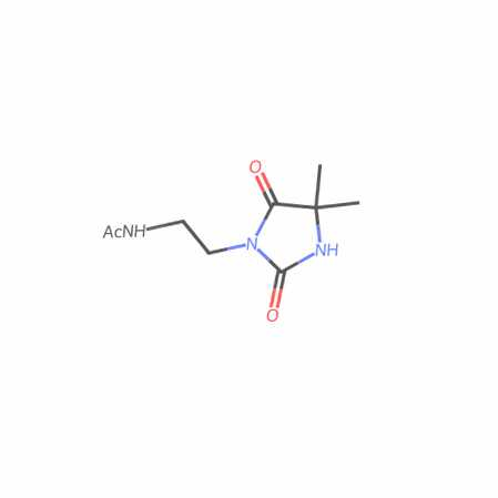 CC(=O)NCCN1C(=O)NC(C)(C)C1=O